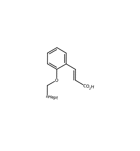 CCCCCCCCOc1ccccc1/C=C/C(=O)O